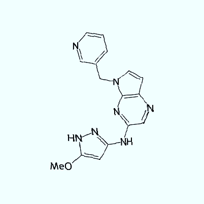 COc1cc(Nc2cnc3ccn(Cc4cccnc4)c3n2)n[nH]1